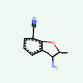 CC1Oc2c(C#N)cccc2C1N